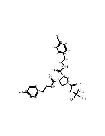 CC(C)(C)OC(=O)N1C[C@H](C(=O)NCCc2ccc(F)cc2)[C@@H](C(=O)NCCc2ccc(F)cc2)C1